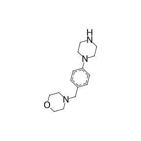 c1cc(N2CCNCC2)ccc1CN1CCOCC1